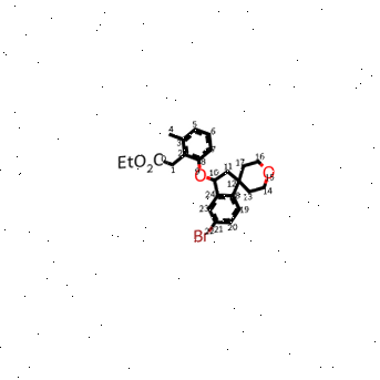 CCOC(=O)Cc1c(C)cccc1OC1CC2(CCOCC2)c2ccc(Br)cc21